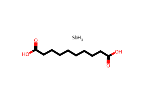 O=C(O)CCCCCCCCC(=O)O.[SbH3]